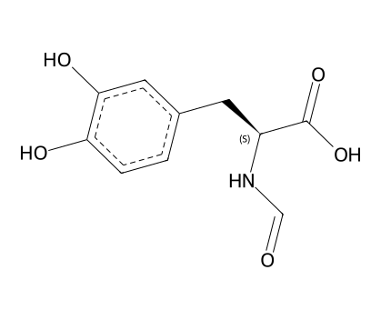 O=CN[C@@H](Cc1ccc(O)c(O)c1)C(=O)O